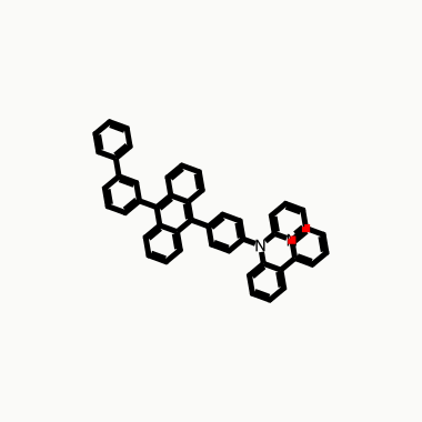 c1ccc(-c2cccc(-c3c4ccccc4c(-c4ccc(N(c5ccccn5)c5ccccc5-c5ccccc5)cc4)c4ccccc34)c2)cc1